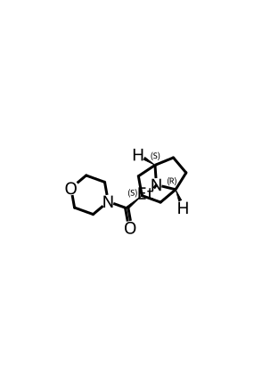 CCN1[C@@H]2CC[C@H]1C[C@H](C(=O)N1CCOCC1)C2